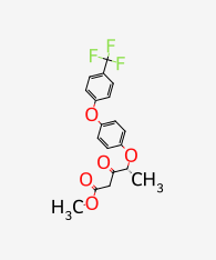 COC(=O)CC(=O)[C@@H](C)Oc1ccc(Oc2ccc(C(F)(F)F)cc2)cc1